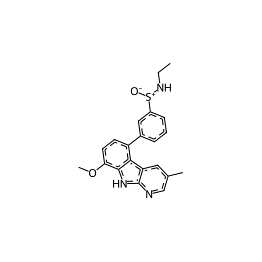 CCN[S+]([O-])c1cccc(-c2ccc(OC)c3[nH]c4ncc(C)cc4c23)c1